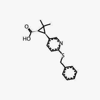 CC1(C)[C@@H](C(=O)O)[C@@H]1c1ccc(SCc2ccccc2)nc1